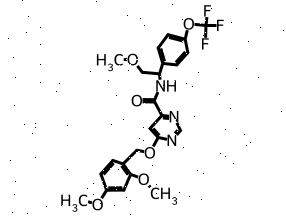 COCC(NC(=O)c1cc(OCc2ccc(OC)cc2OC)ncn1)c1ccc(OC(F)(F)F)cc1